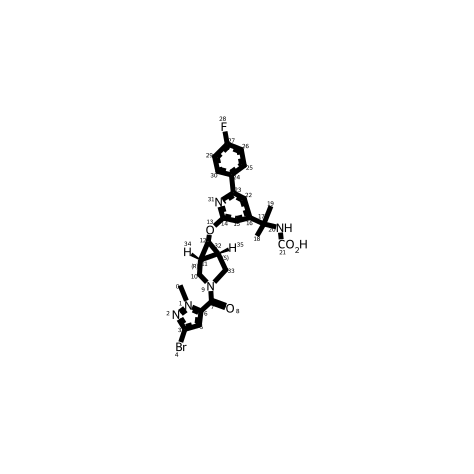 Cn1nc(Br)cc1C(=O)N1C[C@@H]2C(Oc3cc(C(C)(C)NC(=O)O)cc(-c4ccc(F)cc4)n3)[C@@H]2C1